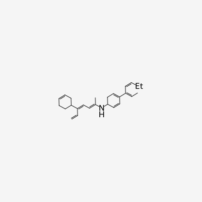 C=C/C(=C\C=C(/C)NC1C=CC(C(/C=C\CC)=C/C)=CC1)C1CC=CCC1